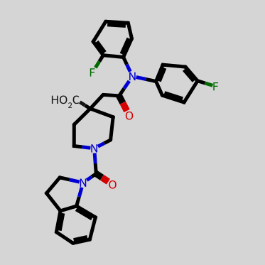 O=C(N1CCC(CC(=O)N(c2ccc(F)cc2)c2ccccc2F)(C(=O)O)CC1)N1CCc2ccccc21